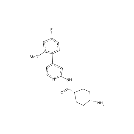 COc1cc(F)ccc1-c1ccnc(NC(=O)[C@H]2CC[C@@H](N)CC2)c1